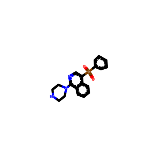 O=S(=O)(c1ccccc1)c1cnc(N2CCNCC2)c2ccccc12